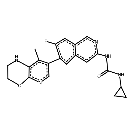 Cc1c(-c2cc3cc(NC(=O)NC4CC4)ncc3cc2F)cnc2c1NCCO2